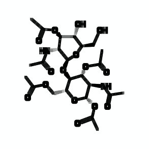 CC(=O)N[C@H]1[C@H](OC(C)=O)O[C@H](COC(C)=O)[C@@H](O[C@@H]2O[C@H](CO)[C@@H](O)[C@H](OC(C)=O)[C@H]2NC(C)=O)[C@@H]1OC(C)=O